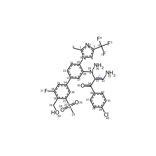 Cc1nc(C(F)(F)F)cn1-c1ccc(-c2cc(F)c(CO)c(S(C)(=O)=O)c2)cc1N(N)/C(=C\N)C(=O)c1ccc(Cl)cc1